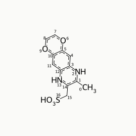 Cc1[nH]c2cc3occoc3cc2[nH]c1CS(=O)(=O)O